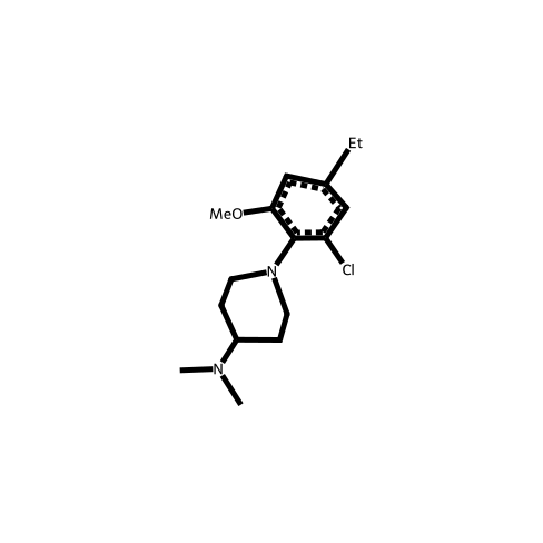 CCc1cc(Cl)c(N2CCC(N(C)C)CC2)c(OC)c1